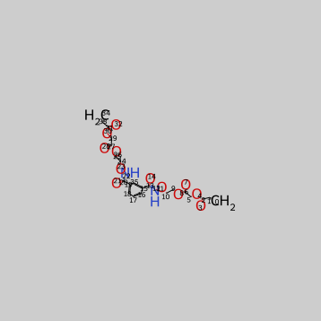 C=CC(=O)OCC(=O)OCCONC(=O)c1cccc(C(=O)NOCCOC(=O)COC(=O)C=C)c1